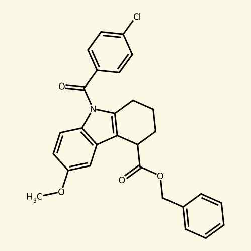 COc1ccc2c(c1)c1c(n2C(=O)c2ccc(Cl)cc2)CCCC1C(=O)OCc1ccccc1